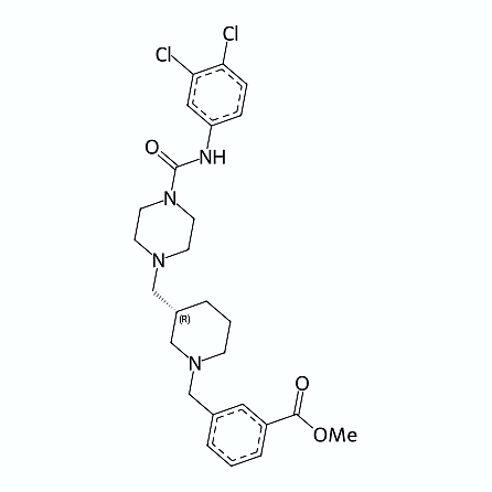 COC(=O)c1cccc(CN2CCC[C@@H](CN3CCN(C(=O)Nc4ccc(Cl)c(Cl)c4)CC3)C2)c1